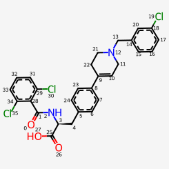 O=C(N[C@@H](Cc1ccc(C2=CCN(Cc3cccc(Cl)c3)CC2)cc1)C(=O)O)c1c(Cl)cccc1Cl